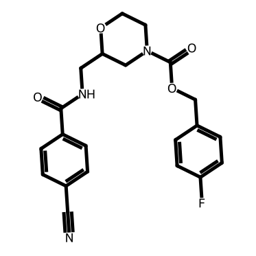 N#Cc1ccc(C(=O)NCC2CN(C(=O)OCc3ccc(F)cc3)CCO2)cc1